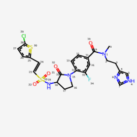 CN(CCc1c[nH]cn1)C(=O)c1ccc(N2CCC(NS(=O)(=O)C=Cc3ccc(Cl)s3)C2=O)c(F)c1